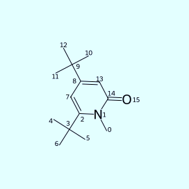 Cn1c(C(C)(C)C)cc(C(C)(C)C)cc1=O